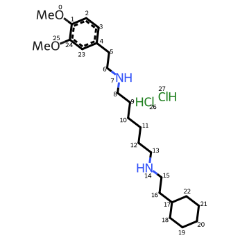 COc1ccc(CCNCCCCCCNCCC2CCCCC2)cc1OC.Cl.Cl